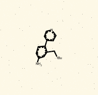 CC(C)(C)[CH]c1cc(N)ccc1-c1ccncc1